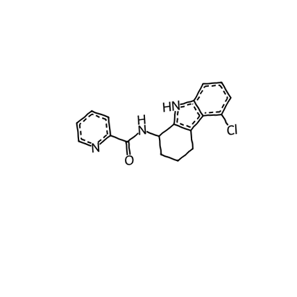 O=C(NC1CCCc2c1[nH]c1cccc(Cl)c21)c1ccccn1